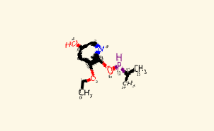 CCOc1cc(O)cnc1OPC(C)C